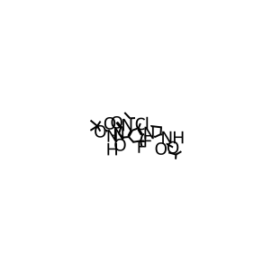 CC(C)n1c2c(c(=O)n(NC(=O)OC(C)(C)C)c1=O)CC(F)(F)C(N1CCC(NC(=O)OC(C)(C)C)C1)=C2Cl